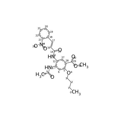 CCCCOc1cc(NC(C)=O)c(NC(=O)C=Cc2ccccc2[N+](=O)[O-])cc1C(=O)OC